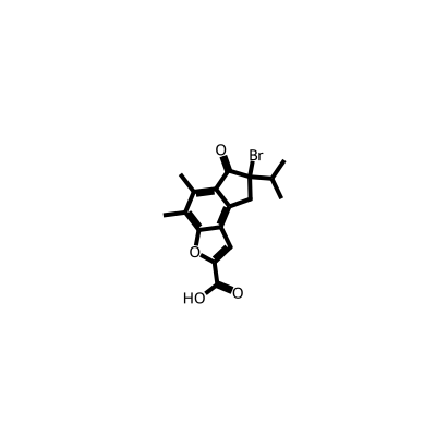 Cc1c2c(c3cc(C(=O)O)oc3c1C)CC(Br)(C(C)C)C2=O